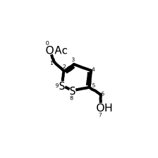 CC(=O)OCC1=CC=C(CO)SS1